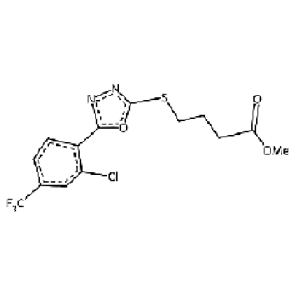 COC(=O)CCCSc1nnc(-c2ccc(C(F)(F)F)cc2Cl)o1